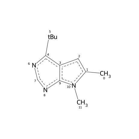 Cc1cc2c(C(C)(C)C)ncnc2n1C